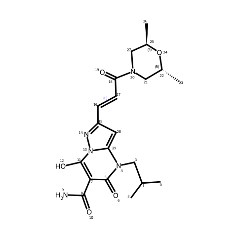 CC(C)Cn1c(=O)c(C(N)=O)c(O)n2nc(/C=C/C(=O)N3C[C@@H](C)O[C@H](C)C3)cc12